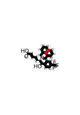 O=C(O)C=CCC[C@H]([C@@H](O)c1ccc(C(F)(F)F)cc1)N(Cc1ccccc1)Cc1ccccc1